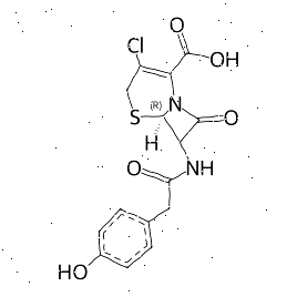 O=C(Cc1ccc(O)cc1)NC1C(=O)N2C(C(=O)O)=C(Cl)CS[C@H]12